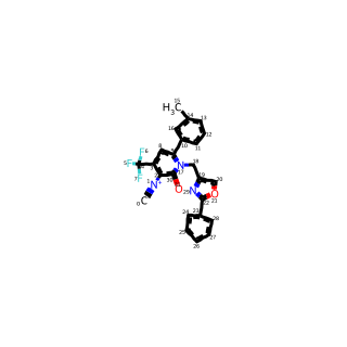 [C-]#[N+]c1c(C(F)(F)F)cc(-c2cccc(C)c2)n(Cc2coc(-c3ccccc3)n2)c1=O